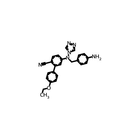 CCOc1ccc(-c2cc(N(Cc3ccc(N)cc3)n3cnnc3)ccc2C#N)cc1